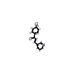 O=C(/C=C/c1cccnc1)c1ccc(Cl)cc1